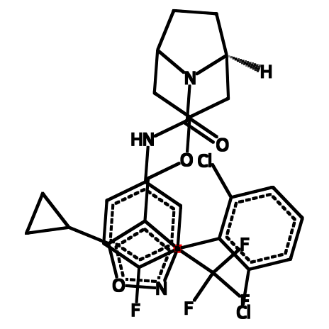 O=C(Nc1ccc(F)c(C(F)(F)F)c1)N1C2CC[C@H]1CC(OCc1c(-c3c(Cl)cccc3Cl)noc1C1CC1)C2